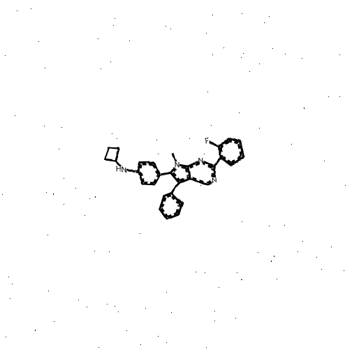 Cn1c(-c2ccc(NC3CCC3)cc2)c(-c2ccccc2)c2cnc(-c3ccccc3F)nc21